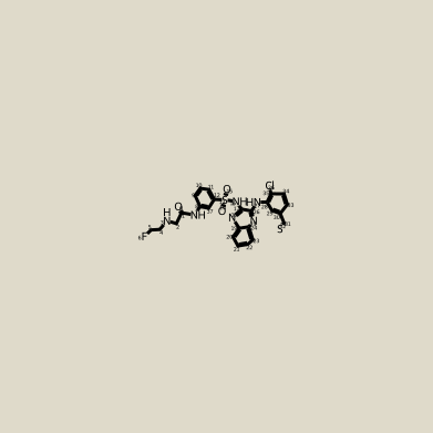 O=C(CNCCF)Nc1cccc(S(=O)(=O)Nc2nc3ccccc3nc2Nc2cc(C=S)ccc2Cl)c1